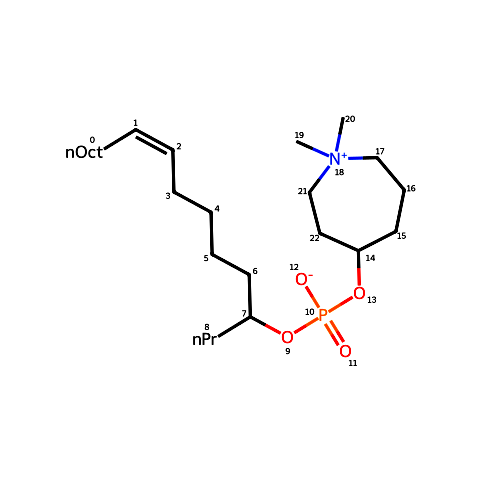 CCCCCCCC/C=C\CCCCC(CCC)OP(=O)([O-])OC1CCC[N+](C)(C)CC1